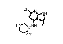 F[C@@H]1CCNC[C@@H]1Nc1nc(Cl)nc2[nH]cc(Cl)c12